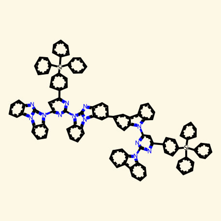 c1ccc([Si](c2ccccc2)(c2ccccc2)c2ccc(-c3cc(-n4c5ccccc5c5cc(-c6ccc7nc8n(-c9nc(-c%10ccc([Si](c%11ccccc%11)(c%11ccccc%11)c%11ccccc%11)cc%10)cc(-n%10c%11ccccc%11n%11c%12ccccc%12nc%10%11)n9)c9ccccc9n8c7c6)ccc54)nc(-n4c5ccccc5c5ccccc54)n3)cc2)cc1